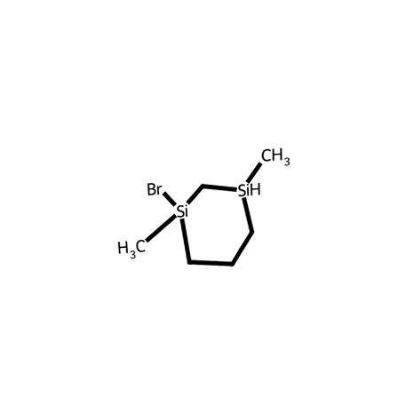 C[SiH]1CCC[Si](C)(Br)C1